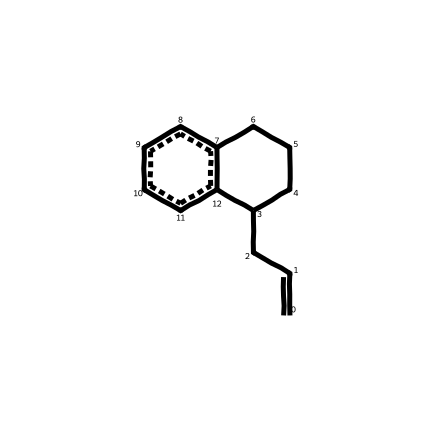 C=CCC1CCCc2ccccc21